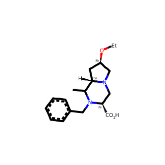 CCO[C@@H]1C[C@H]2C(C)N(Cc3ccccc3)[C@H](C(=O)O)CN2C1